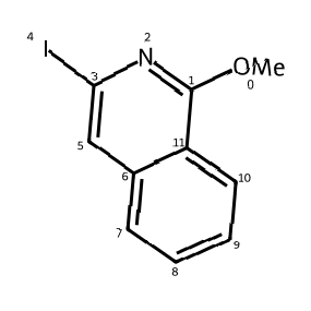 COc1nc(I)cc2ccccc12